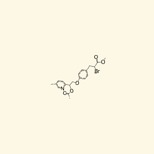 COC(=O)C(Br)Cc1ccc(OCC(OC(C)=O)c2ccc(C)cn2)cc1